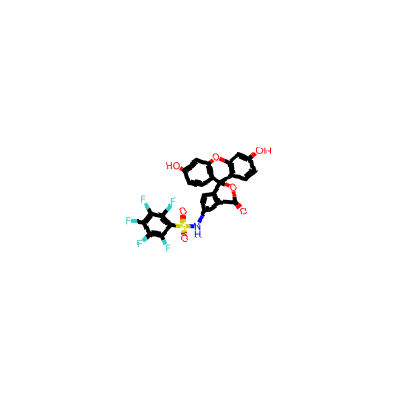 O=C1OC2(c3ccc(O)cc3Oc3cc(O)ccc32)c2ccc(NS(=O)(=O)c3c(F)c(F)c(F)c(F)c3F)cc21